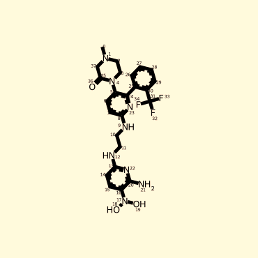 CN1CCN(c2ccc(NCCNc3ccc(N(O)O)c(N)n3)nc2-c2ccccc2C(F)(F)F)C(=O)C1